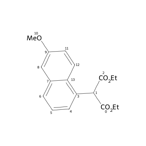 CCOC(=O)C(C(=O)OCC)c1cccc2cc(OC)ccc12